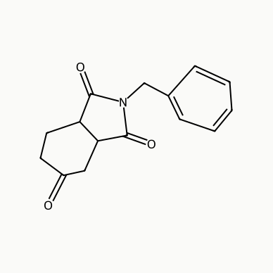 O=C1CCC2C(=O)N(Cc3ccccc3)C(=O)C2C1